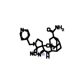 CC1(/C(=N\C#N)NC2C3CC4CC2CC(C(N)=O)(C4)C3)CCN(Cc2ccncc2)C1=O